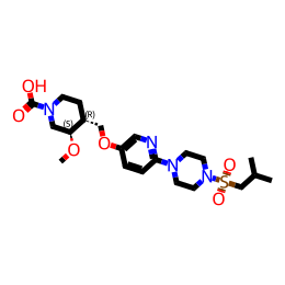 CO[C@@H]1CN(C(=O)O)CC[C@@H]1COc1ccc(N2CCN(S(=O)(=O)CC(C)C)CC2)nc1